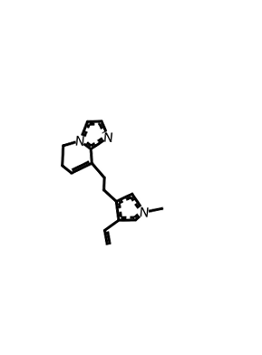 C=Cc1cn(C)cc1CCC1=CCCn2ccnc21